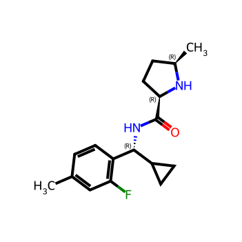 Cc1ccc([C@H](NC(=O)[C@H]2CC[C@@H](C)N2)C2CC2)c(F)c1